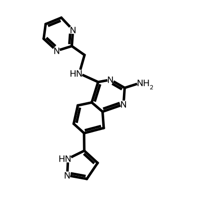 Nc1nc(NCc2ncccn2)c2ccc(-c3ccn[nH]3)cc2n1